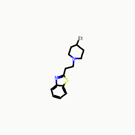 CCC1CCN(CCc2nc3ccccc3s2)CC1